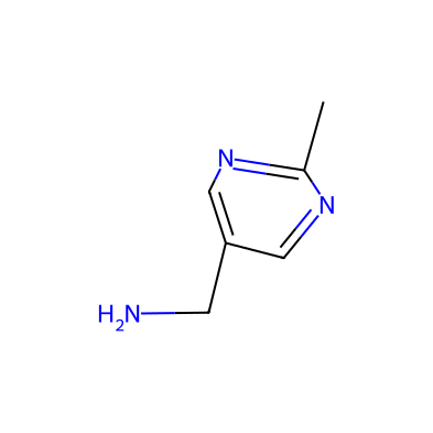 Cc1ncc(CN)cn1